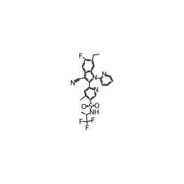 CCc1cc2c(cc1F)c(C#N)c(-c1cc(C)c(S(=O)(=O)N[C@H](C)C(F)(F)F)cn1)n2-c1ccccn1